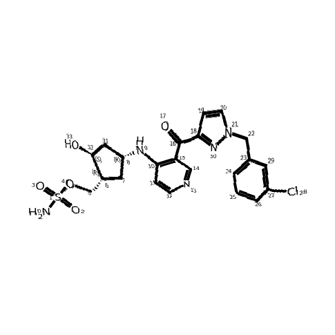 NS(=O)(=O)OC[C@H]1C[C@@H](Nc2ccncc2C(=O)c2ccn(Cc3cccc(Cl)c3)n2)C[C@@H]1O